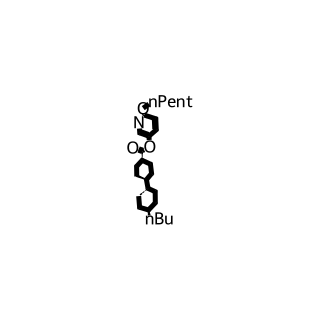 CCCCCOc1ccc(OC(=O)[C@H]2CC[C@H]([C@H]3CC[C@H](CCCC)CC3)CC2)cn1